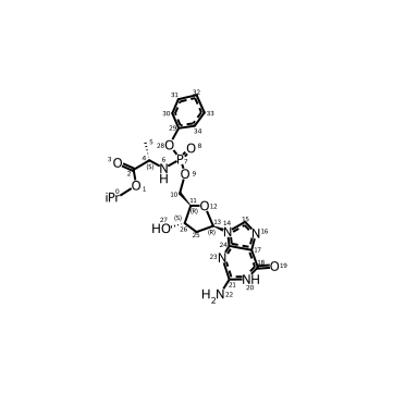 CC(C)OC(=O)[C@H](C)NP(=O)(OC[C@H]1O[C@@H](n2cnc3c(=O)[nH]c(N)nc32)C[C@@H]1O)Oc1ccccc1